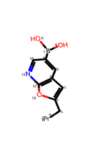 CC(C)Cc1cc2cc(B(O)O)cnc2o1